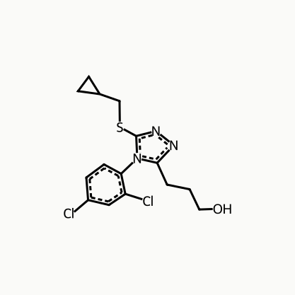 OCCCc1nnc(SCC2CC2)n1-c1ccc(Cl)cc1Cl